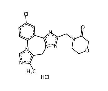 Cc1ncn2c1Cn1nc(CN3CCOCC3=O)nc1-c1cc(Cl)ccc1-2.Cl